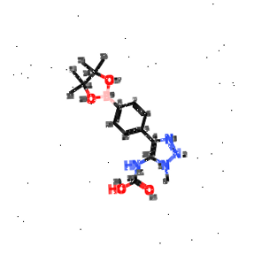 Cn1nnc(-c2ccc(B3OC(C)(C)C(C)(C)O3)cc2)c1NC(=O)O